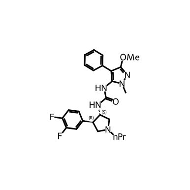 CCCN1C[C@@H](NC(=O)Nc2c(-c3ccccc3)c(OC)nn2C)[C@H](c2ccc(F)c(F)c2)C1